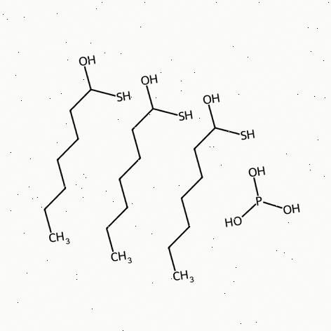 CCCCCCC(O)S.CCCCCCC(O)S.CCCCCCC(O)S.OP(O)O